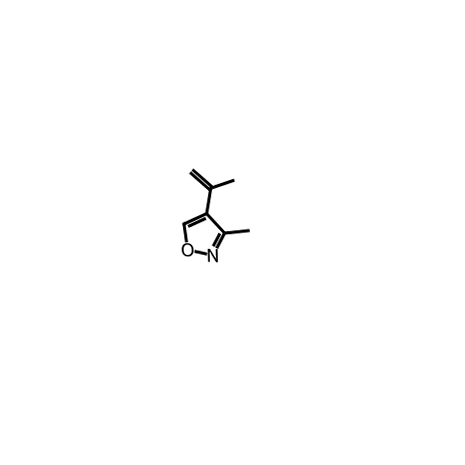 C=C(C)c1conc1C